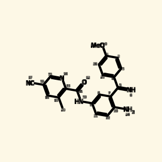 COc1ccc(C(=N)c2cc(NC(=O)c3ncc(C#N)cc3C)ccc2N)cc1